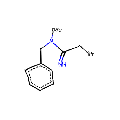 CCCCN(Cc1ccccc1)C(=N)CC(C)C